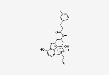 C=CCN1CC[C@]23c4c5ccc(O)c4OC2CC(N(C)C(=O)CCc2cccc(C)c2)C[C@@]3(O)[C@H]1C5